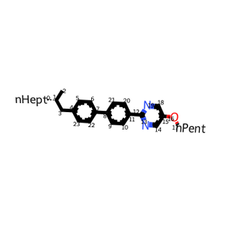 CCCCCCC[C@H](C)Cc1ccc(-c2ccc(-c3ncc(OCCCCC)cn3)cc2)cc1